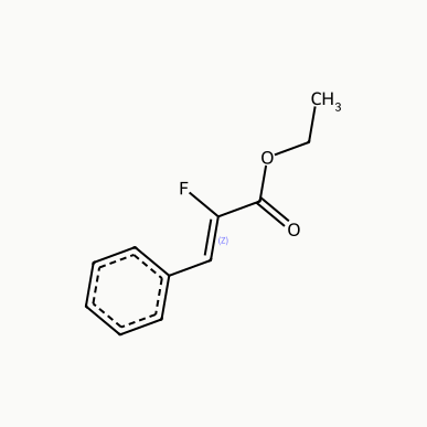 CCOC(=O)/C(F)=C/c1ccccc1